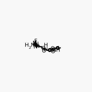 Cc1ccc(CNS(=O)(=O)c2ccc(CNC(=O)OCCCCn3cnc4c(N)nc(F)nc43)cc2)cc1